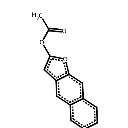 CC(=O)Oc1cc2cc3ccccc3cc2o1